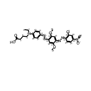 CCN(CCCC(=O)O)c1ccc(N=Nc2cc(OC)c(N=Nc3ccc([N+](=O)[O-])cc3Cl)cc2OC)cc1